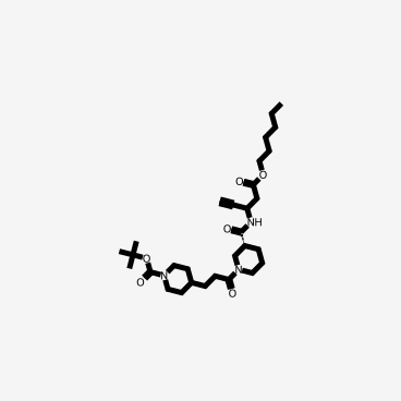 C#CC(CC(=O)OCCCCCC)NC(=O)[C@@H]1CCCN(C(=O)CCC2CCN(C(=O)OC(C)(C)C)CC2)C1